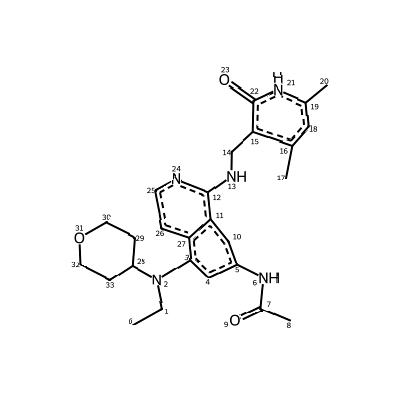 CCN(c1cc(NC(C)=O)cc2c(NCc3c(C)cc(C)[nH]c3=O)nccc12)C1CCOCC1